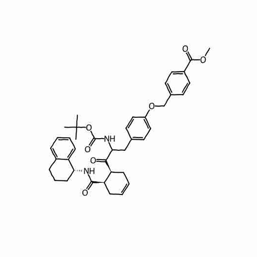 COC(=O)c1ccc(COc2ccc(CC(NC(=O)OC(C)(C)C)C(=O)[C@H]3CC=CC[C@H]3C(=O)N[C@@H]3CCCc4ccccc43)cc2)cc1